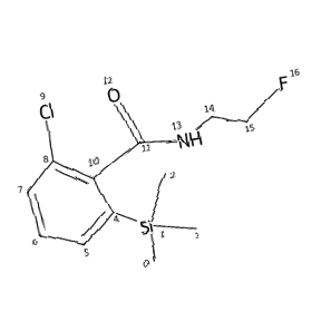 C[Si](C)(C)c1cccc(Cl)c1C(=O)NCCF